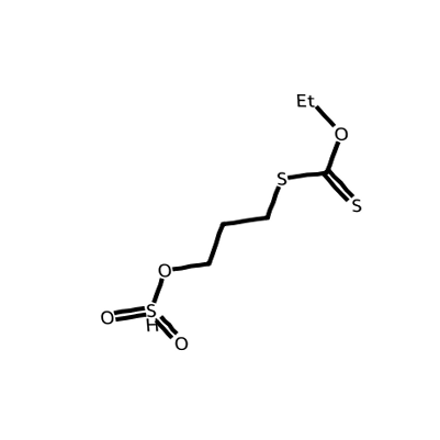 CCOC(=S)SCCCO[SH](=O)=O